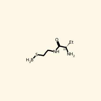 BSCCNC(=O)[C@@H](N)CC